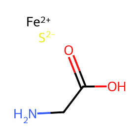 NCC(=O)O.[Fe+2].[S-2]